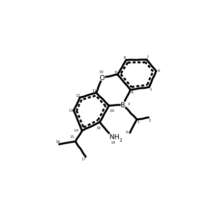 CC(C)B1c2ccccc2Oc2ccc(C(C)C)c(N)c21